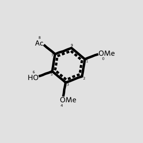 COc1cc(OC)c(O)c(C(C)=O)c1